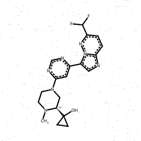 CN1CCN(c2cc(-c3cnc4ccc(C(F)F)nn34)ncn2)C[C@H]1C1(O)CC1